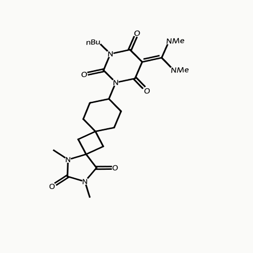 CCCCN1C(=O)C(=C(NC)NC)C(=O)N(C2CCC3(CC2)CC2(C3)C(=O)N(C)C(=O)N2C)C1=O